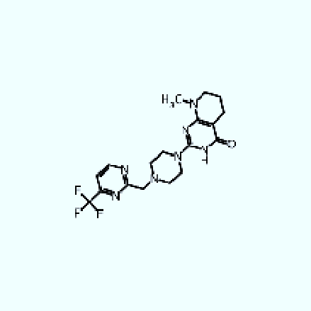 CN1CCCc2c1nc(N1CCN(Cc3nccc(C(F)(F)F)n3)CC1)[nH]c2=O